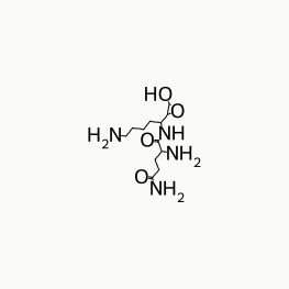 NCCCCC(NC(=O)C(N)CCC(N)=O)C1OC1O